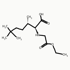 CCOC(=O)CN[C@H](C(=O)O)[C@@H](C)CCC(C)(C)C